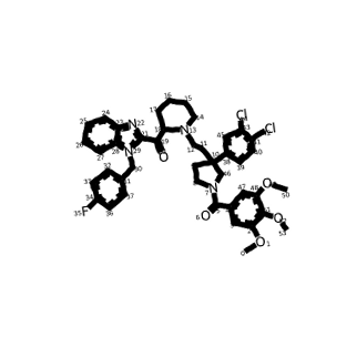 COc1cc(C(=O)N2CCC(CCN3CCCCC3C(=O)c3nc4ccccc4n3Cc3ccc(F)cc3)(c3ccc(Cl)c(Cl)c3)C2)cc(OC)c1OC